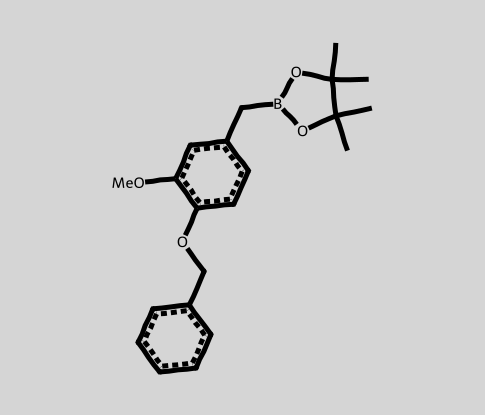 COc1cc(CB2OC(C)(C)C(C)(C)O2)ccc1OCc1ccccc1